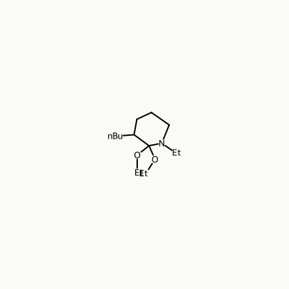 CCCCC1CCCN(CC)C1(OCC)OCC